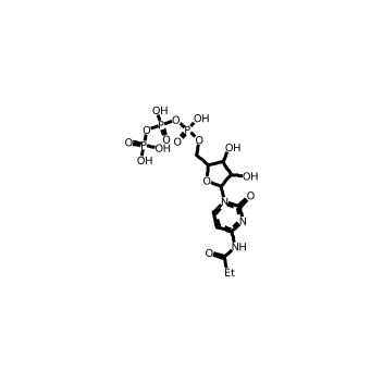 CCC(=O)Nc1ccn(C2OC(COP(=O)(O)OP(=O)(O)OP(=O)(O)O)C(O)C2O)c(=O)n1